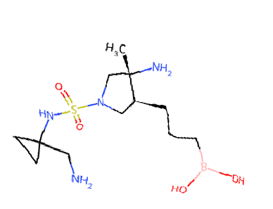 C[C@]1(N)CN(S(=O)(=O)NC2(CN)CC2)C[C@@H]1CCCB(O)O